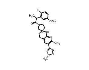 COc1cc(C(C)C(=O)N2CC[C@@]3(CCc4cc(-c5nnn(C)n5)c(C)nc4N3)C2)c(F)cn1